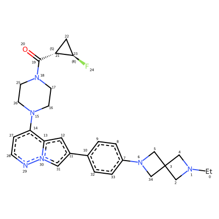 CCN1CC2(C1)CN(c1ccc(-c3cc4c(N5CCN(C(=O)[C@@H]6C[C@H]6F)CC5)ccnn4c3)cc1)C2